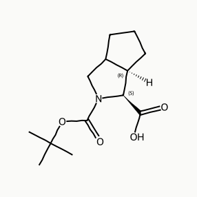 CC(C)(C)OC(=O)N1CC2CCC[C@H]2[C@H]1C(=O)O